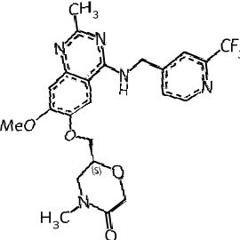 COc1cc2nc(C)nc(NCc3ccnc(C(F)(F)F)c3)c2cc1OC[C@@H]1CN(C)C(=O)CO1